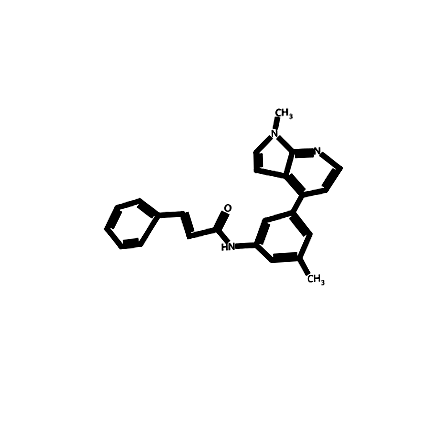 Cc1cc(NC(=O)C=Cc2ccccc2)cc(-c2ccnc3c2ccn3C)c1